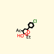 CCOC(O)C(CC(=O)c1ccc(Cl)cc1)C(C)=O